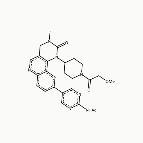 COCC(=O)N1CCC(N2C(=O)N(C)Cc3cnc4ccc(-c5cnc(NC(C)=O)nc5)nc4c32)CC1